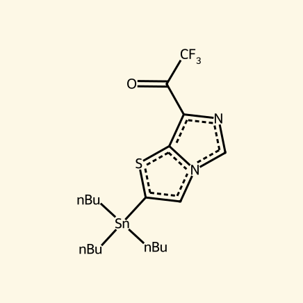 CCC[CH2][Sn]([CH2]CCC)([CH2]CCC)[c]1cn2cnc(C(=O)C(F)(F)F)c2s1